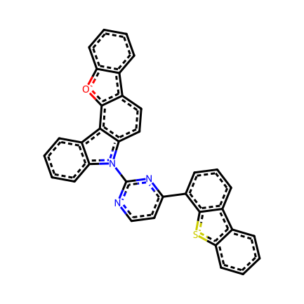 c1ccc2c(c1)oc1c2ccc2c1c1ccccc1n2-c1nccc(-c2cccc3c2sc2ccccc23)n1